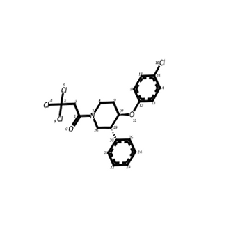 O=C(CC(Cl)(Cl)Cl)N1CC[C@@H](Oc2ccc(Cl)cc2)[C@H](c2ccccc2)C1